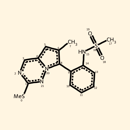 CSc1ncc2cc(C)c(-c3ccccc3NS(C)(=O)=O)n2n1